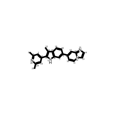 Cc1cc(-c2[nH]c3cc(-c4ccn5ccnc5c4)ccc3c2C)cc(C)n1